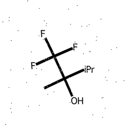 CC(C)C(C)(O)C(F)(F)F